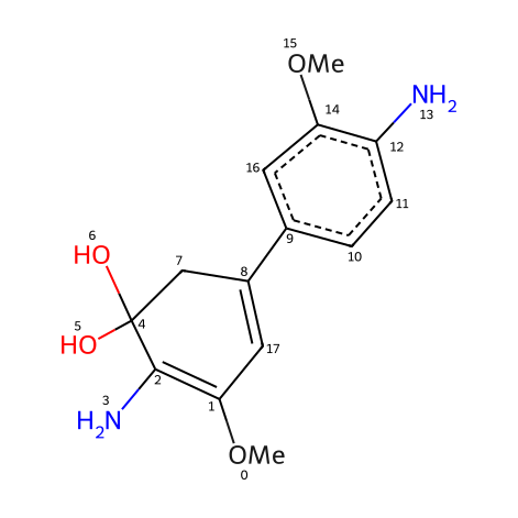 COC1=C(N)C(O)(O)CC(c2ccc(N)c(OC)c2)=C1